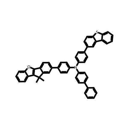 CC1(C)c2cc(-c3ccc(N(c4ccc(-c5ccccc5)cc4)c4ccc(-c5ccc6sc7ccccc7c6c5)cc4)cc3)ccc2-c2oc3ccccc3c21